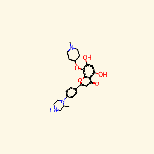 CC1CNCCN1c1ccc(-c2cc(=O)c3c(O)cc(O)c(OC4CCN(C)CC4)c3o2)cc1